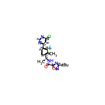 Cc1c([C@@H](C)NC(=O)c2nc(C(C)(C)C)no2)ccc(-c2cc(Cl)ncn2)c1F